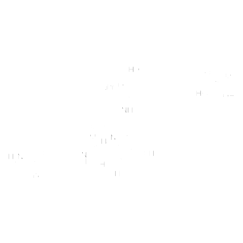 C/C(=C\C(=O)N[C@@H](CC(C)C)C(=O)N1C2[C@@H]3[C@H]([C@H]1C(=O)NCCOC(N)=O)[C@]23C)c1ccc(OP(=O)(O)O)cc1